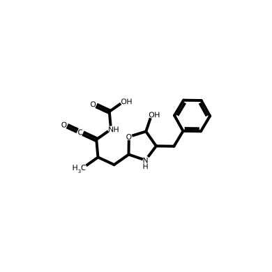 CC(CC1NC(Cc2ccccc2)C(O)O1)C(=C=O)NC(=O)O